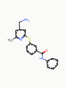 Cc1cc(CN)cc(Sc2cccc(C(=O)Nc3ccccc3)c2)n1